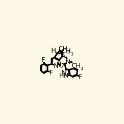 CCN(C[C@@]12CC[C@@H](c3cc(-c4c(F)cccc4F)nnc31)C2(C)C)C(=O)c1n[nH]c2cc(F)ccc12